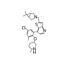 Cc1cc(Cl)cc(-c2ccnc3cc([C@@H](C)N4CC5C(C4)C5(C)C)sc23)c1OC1CCC(C)NC1